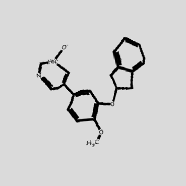 COc1ccc(C2=C[NH+]([O-])CN=C2)cc1OC1Cc2ccccc2C1